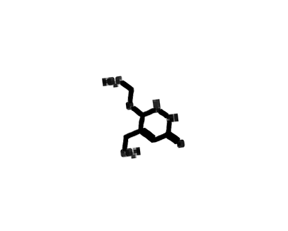 O=C(O)COC1NNC(=O)C=C1CC(=O)O